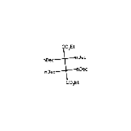 CCCCCCCCCCC(CCCCCCCCCC)(C(=O)OCC)C(CCCCCCCCCC)(CCCCCCCCCC)C(=O)OCC